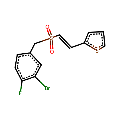 O=S(=O)(C=Cc1cccs1)Cc1ccc(F)c(Br)c1